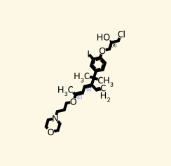 C=C/C(=C\C=C(/C)OCCCN1CCOCC1)C(C)(C)c1ccc(OC[C@@H](O)CCl)c(I)c1